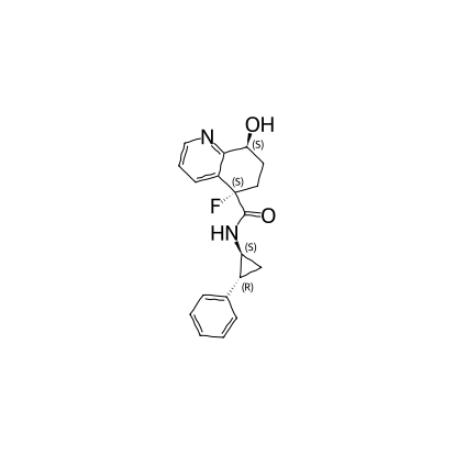 O=C(N[C@H]1C[C@@H]1c1ccccc1)[C@]1(F)CC[C@H](O)c2ncccc21